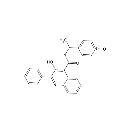 CC(NC(=O)c1c(O)c(-c2ccccc2)nc2ccccc12)c1cc[n+]([O-])cc1